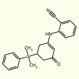 C[Si](C)(c1ccccc1)C1CC(=O)C=C(Nc2ccccc2C#N)C1